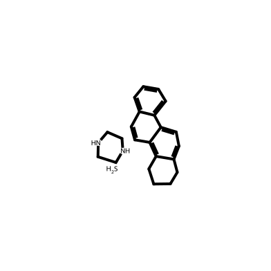 C1CNCCN1.S.c1ccc2c(c1)ccc1c3c(ccc12)CCCC3